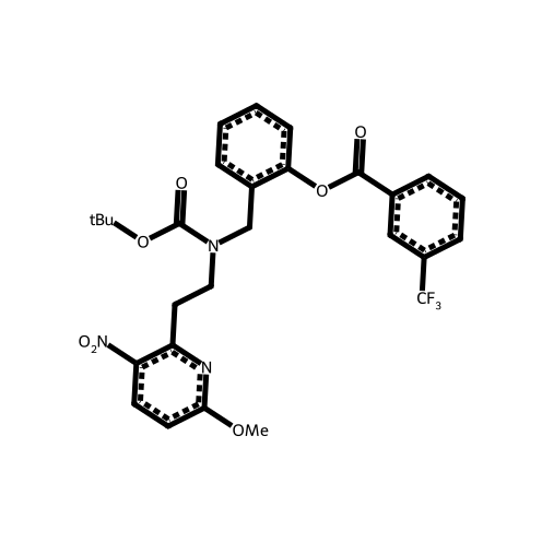 COc1ccc([N+](=O)[O-])c(CCN(Cc2ccccc2OC(=O)c2cccc(C(F)(F)F)c2)C(=O)OC(C)(C)C)n1